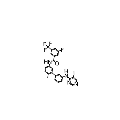 Cc1ccc(NC(=O)c2cc(F)cc(C(F)(F)F)c2)cc1-c1cccc(Nc2ncncc2I)c1